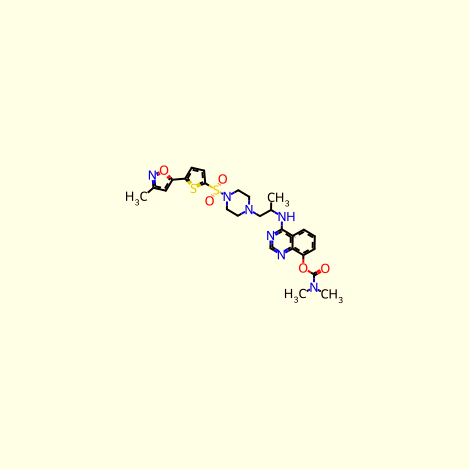 Cc1cc(-c2ccc(S(=O)(=O)N3CCN(CC(C)Nc4ncnc5c(OC(=O)N(C)C)cccc45)CC3)s2)on1